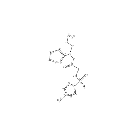 CCOC(=O)CCC(C[PH](=O)COS(=O)(=O)c1ccc(C)cc1)c1ccccc1